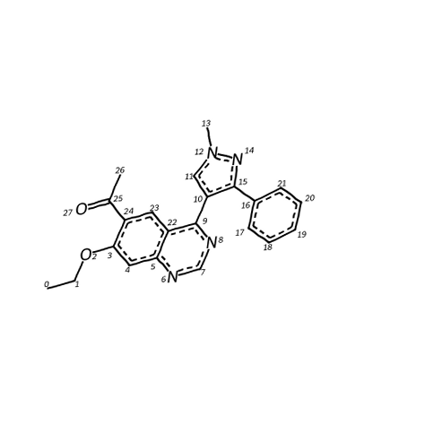 CCOc1cc2ncnc(-c3cn(C)nc3-c3ccccc3)c2cc1C(C)=O